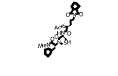 CNC(=O)[C@H](Cc1ccccc1)N(C)C(=O)[C@H](CS)NC(=O)[C@H](CCCN1C(=O)c2ccccc2C1=O)SC(C)=O